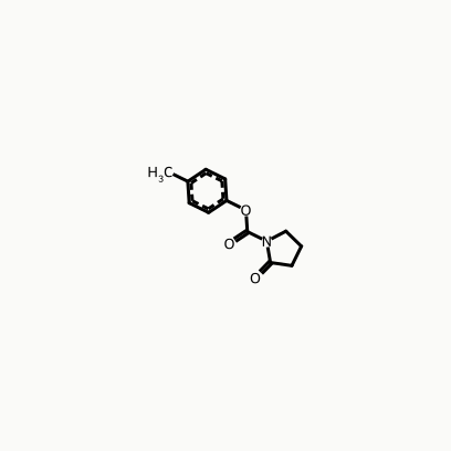 Cc1ccc(OC(=O)N2CCCC2=O)cc1